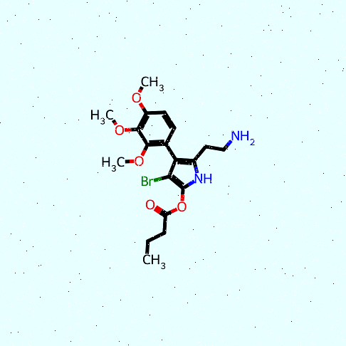 CCCC(=O)Oc1[nH]c(CCN)c(-c2ccc(OC)c(OC)c2OC)c1Br